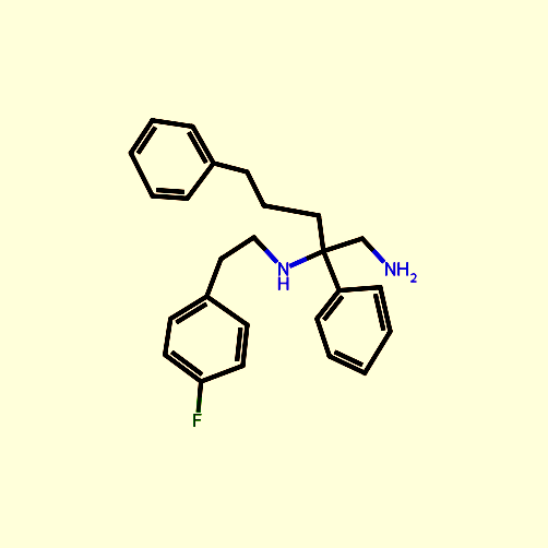 NCC(CCCc1ccccc1)(NCCc1ccc(F)cc1)c1ccccc1